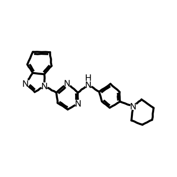 c1ccc2c(c1)ncn2-c1ccnc(Nc2ccc(N3CCCCC3)cc2)n1